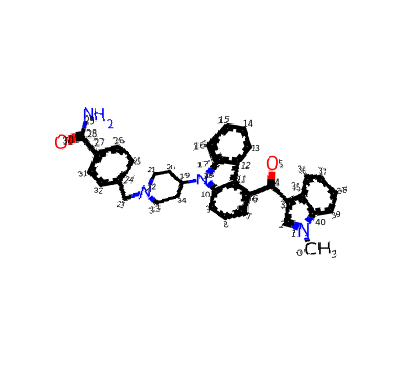 Cn1cc(C(=O)c2cccc3c2c2ccccc2n3C2CCN(Cc3ccc(C(N)=O)cc3)CC2)c2ccccc21